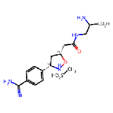 CS(=O)(=O)O.N=C(N)c1ccc([C@@H]2C[C@H](CC(=O)NCC(N)C(=O)O)ON2)cc1